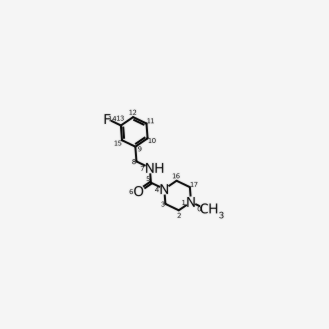 CN1CCN(C(=O)NCc2cccc(F)c2)CC1